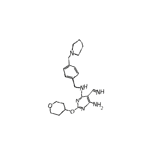 N=Cc1c(N)nc(OC2CCOCC2)nc1NCc1ccc(CN2CCCC2)cc1